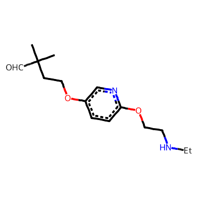 CCNCCOc1ccc(OCCC(C)(C)C=O)cn1